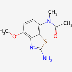 COc1ccc(N(C)C(C)=O)c2sc(N)nc12